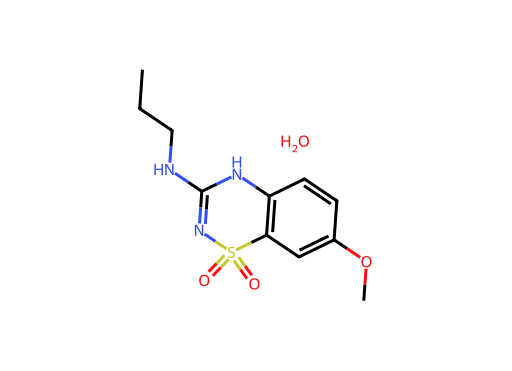 CCCNC1=NS(=O)(=O)c2cc(OC)ccc2N1.O